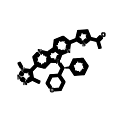 CC(=O)c1ccc(-c2ccc3c4ncc(-c5c(C)nnn5C)cc4n([C@H](c4ccccc4)C4CCOCC4)c3n2)s1